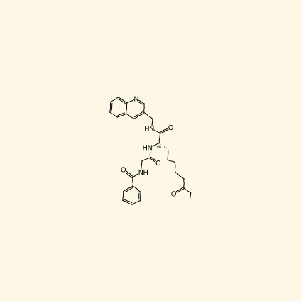 CCC(=O)CCCCC[C@H](NC(=O)CNC(=O)c1ccccc1)C(=O)NCc1cnc2ccccc2c1